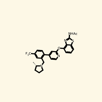 CC(=O)Nc1nc2c(Oc3cc(-c4ccc(C(F)(F)F)cc4CN4CCC[C@@H]4C)ccn3)cccc2s1